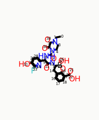 CCN1CCN(C(=O)NC(C(=O)N[C@H]2Cc3cccc(C(=O)O)c3OB2O)c2ccc(O)c(F)n2)C(=O)C1=O